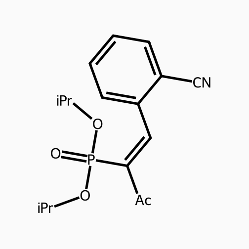 CC(=O)C(=Cc1ccccc1C#N)P(=O)(OC(C)C)OC(C)C